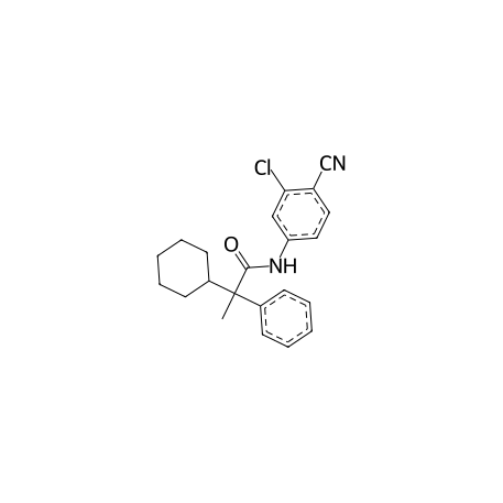 CC(C(=O)Nc1ccc(C#N)c(Cl)c1)(c1ccccc1)C1CCCCC1